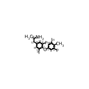 Cc1c(I)cc(Oc2c(I)cc(C[C@@H](C)N)cc2I)cc1I